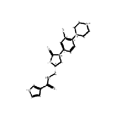 O=C1O[C@@H](CNC(=S)c2ccoc2)CN1c1ccc(N2CCOCC2)c(F)c1